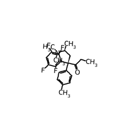 CCC(=O)[C@](C[C@H](C)N(C)C)(c1ccc(C)cc1)c1c(F)c(F)cc(F)c1F